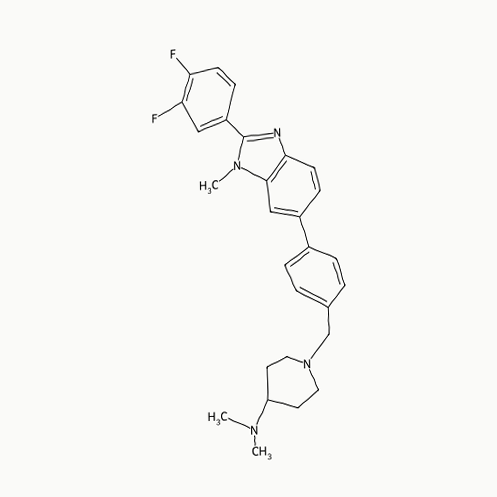 CN(C)C1CCN(Cc2ccc(-c3ccc4nc(-c5ccc(F)c(F)c5)n(C)c4c3)cc2)CC1